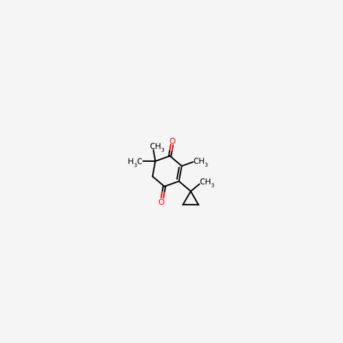 CC1=C(C2(C)CC2)C(=O)CC(C)(C)C1=O